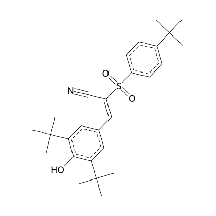 CC(C)(C)c1ccc(S(=O)(=O)C(C#N)=Cc2cc(C(C)(C)C)c(O)c(C(C)(C)C)c2)cc1